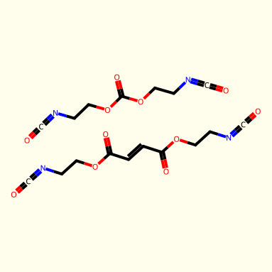 O=C=NCCOC(=O)C=CC(=O)OCCN=C=O.O=C=NCCOC(=O)OCCN=C=O